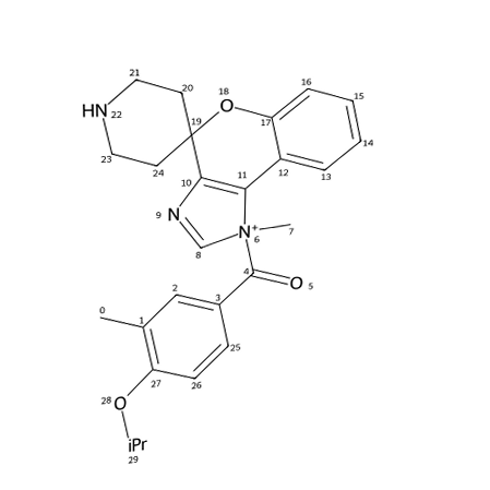 Cc1cc(C(=O)[N+]2(C)C=NC3=C2c2ccccc2OC32CCNCC2)ccc1OC(C)C